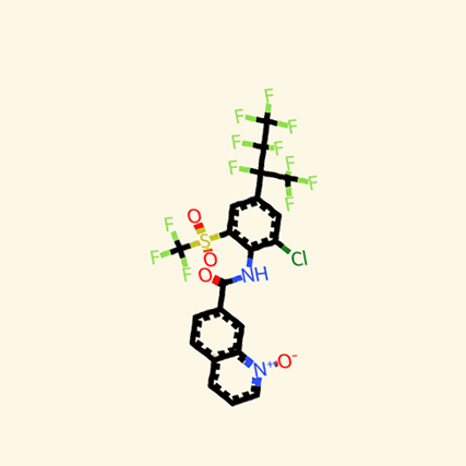 O=C(Nc1c(Cl)cc(C(F)(C(F)(F)F)C(F)(F)C(F)(F)F)cc1S(=O)(=O)C(F)(F)F)c1ccc2ccc[n+]([O-])c2c1